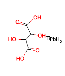 O=C(O)C(O)C(O)C(=O)O.[PbH2].[Ti]